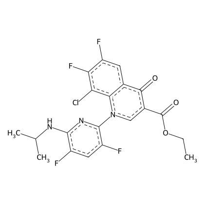 CCOC(=O)c1cn(-c2nc(NC(C)C)c(F)cc2F)c2c(Cl)c(F)c(F)cc2c1=O